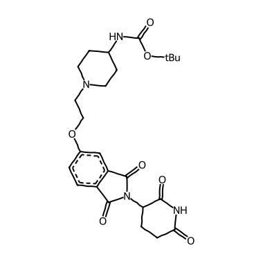 CC(C)(C)OC(=O)NC1CCN(CCOc2ccc3c(c2)C(=O)N(C2CCC(=O)NC2=O)C3=O)CC1